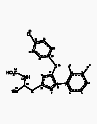 Cc1c(F)cccc1-n1nc(CC(NC(=O)O)C(C)(C)C)cc1Sc1ccc(Cl)nc1